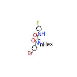 CCCCCCn1cc(C(=O)Nc2ccc(F)cc2)c(=O)n1-c1ccc(Br)cc1